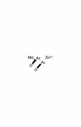 CC(=O)[O-].CC(=O)[O-].N.[Zn+2]